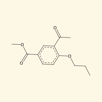 CCCOc1ccc(C(=O)OC)cc1C(C)=O